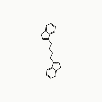 C1=C(CCCCC2=CCc3ccccc32)c2ccccc2C1